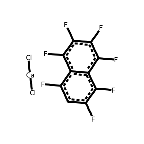 Fc1[c]c(F)c2c(F)c(F)c(F)c(F)c2c1F.[Cl][Ca][Cl]